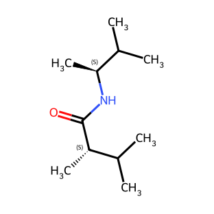 CC(C)[C@H](C)NC(=O)[C@@H](C)C(C)C